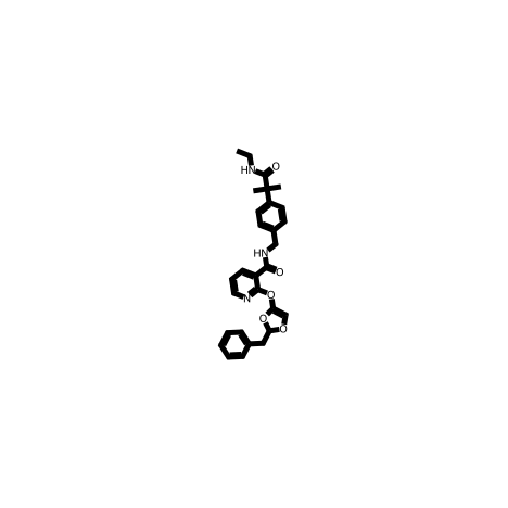 CCNC(=O)C(C)(C)c1ccc(CNC(=O)c2cccnc2OC2=COC(Cc3ccccc3)O2)cc1